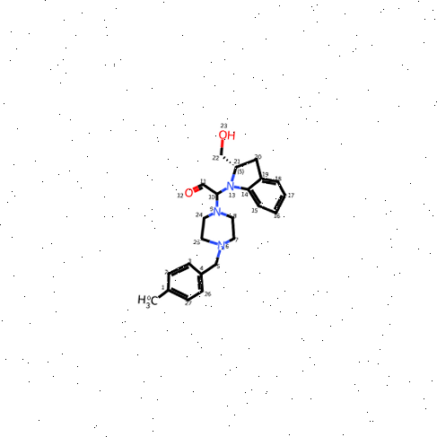 Cc1ccc(CN2CCN(C(C=O)N3c4ccccc4C[C@H]3CO)CC2)cc1